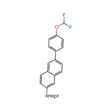 CCCCCCCc1ccc2cc(-c3ccc(OC(F)F)cc3)ccc2c1